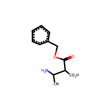 N#CC(N)C(C(=O)O)C(=O)OCc1ccccc1